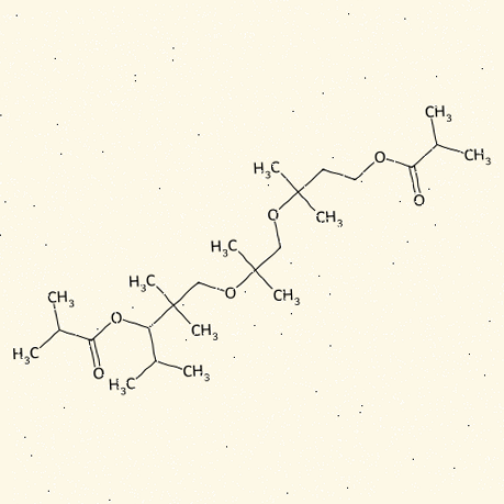 CC(C)C(=O)OCCC(C)(C)OCC(C)(C)OCC(C)(C)C(OC(=O)C(C)C)C(C)C